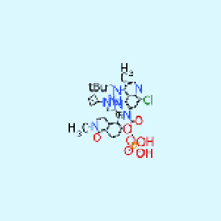 Cc1cnc2c(Cl)cc(N(C(=O)OCOP(=O)(O)O)[C@H](c3cn(C45CC(C4)C5)nn3)c3cccc4c(=O)n(C)ccc34)cc2c1NCC(C)(C)C